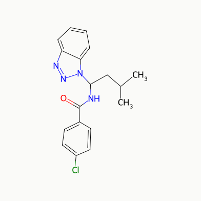 CC(C)CC(NC(=O)c1ccc(Cl)cc1)n1nnc2ccccc21